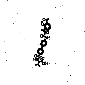 COc1c(C(C)=O)ccc2oc(C(=O)Nc3ccc(-c4ccc(S(=O)(=O)N[C@H](C(=O)O)C(C)C)cc4)cc3)c(C)c12